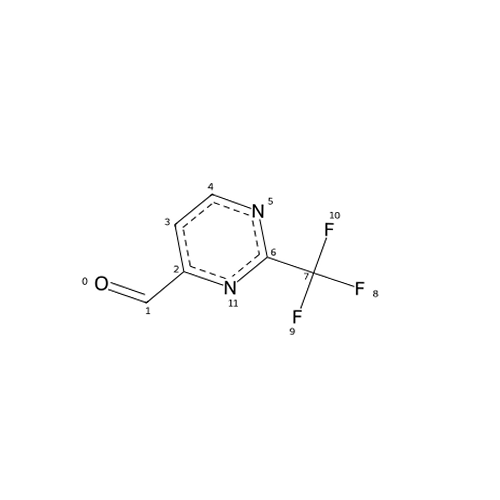 O=Cc1ccnc(C(F)(F)F)n1